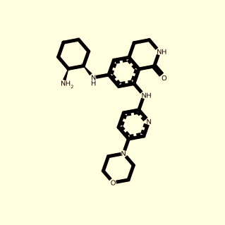 N[C@H]1CCCC[C@H]1Nc1cc2c(c(Nc3ccc(N4CCOCC4)cn3)c1)C(=O)NCC2